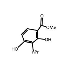 CCCc1c(O)ccc(C(=O)OC)c1O